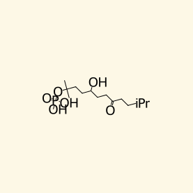 CC(C)CCC(=O)CCC(O)CCC(C)(C)OP(=O)(O)O